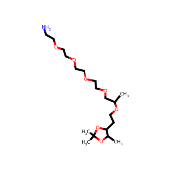 CC(COCCOCCOCCOCCN)OCCC1OC(C)(C)OC1C